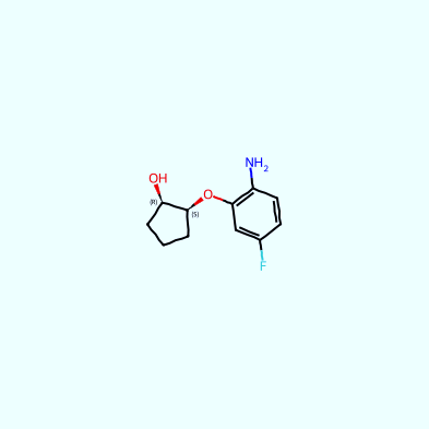 Nc1ccc(F)cc1O[C@H]1CCC[C@H]1O